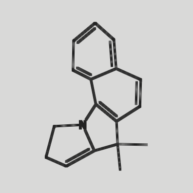 CC1(C)C2=CCCN2c2c1ccc1ccccc21